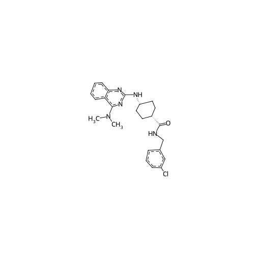 CN(C)c1nc(N[C@H]2CC[C@@H](C(=O)NCc3cccc(Cl)c3)CC2)nc2ccccc12